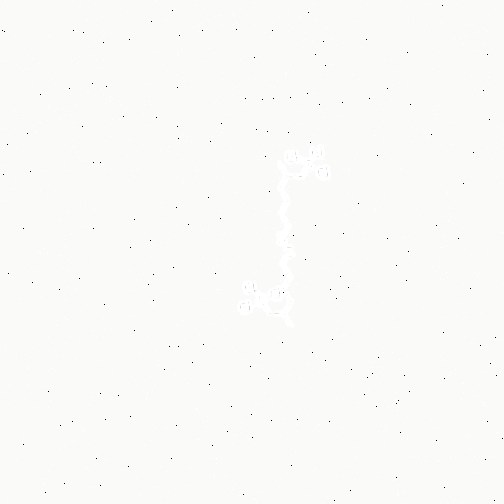 CC(CCCCSSCCCCC(C)CS(Cl)(Cl)Cl)CS(Cl)(Cl)Cl